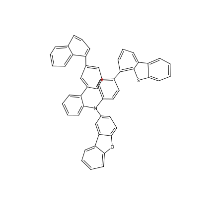 c1cc(-c2ccccc2N(c2ccc(-c3cccc4c3sc3ccccc34)cc2)c2ccc3oc4ccccc4c3c2)cc(-c2cccc3ccccc23)c1